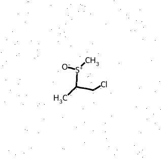 CC(CCl)[S+](C)[O-]